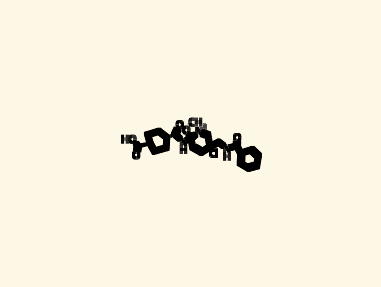 COC1(NC(=O)[C@H]2CC[C@H](C(=O)O)CC2)C=CC(Cl)(CNC(=O)c2ccccc2)C=N1